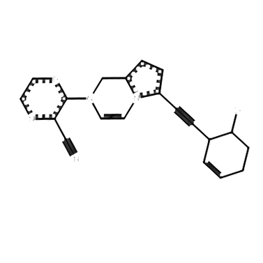 N#Cc1nccnc1N1C=Cn2c(C#CC3C=CCCC3Br)ccc2C1